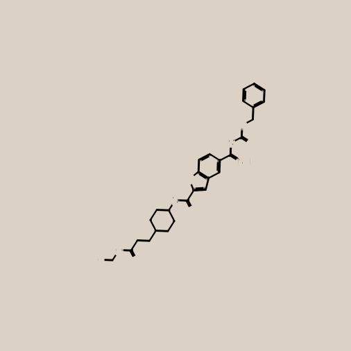 CCOC(=O)CCC1CCC(NC(=O)c2cc3cc(C(=N)NC(=O)OCc4ccccc4)ccc3o2)CC1